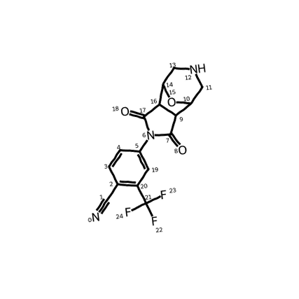 N#Cc1ccc(N2C(=O)C3C4CNCC(O4)C3C2=O)cc1C(F)(F)F